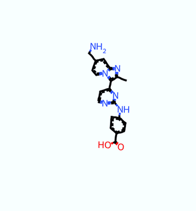 Cc1nc2cc(CN)ccn2c1-c1ccnc(Nc2ccc(C(=O)O)cc2)n1